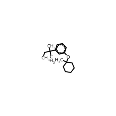 CCC(C)(C)c1cccc(OC2(C)CCCCC2)c1